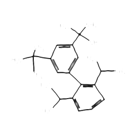 CC(C)c1cccc(C(C)C)c1-c1cc(C(C)(C)C)[c]c(C(C)(C)C)c1